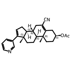 CC(=O)O[C@H]1CC[C@@]2(C)C(=C(C#N)C[C@@H]3[C@@H]2CC[C@]2(C)C(c4cccnc4)=CC[C@@H]32)C1